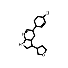 ClC1C=CC(C2C=NC3NCC(C4CCOC4)C3C2)CC1